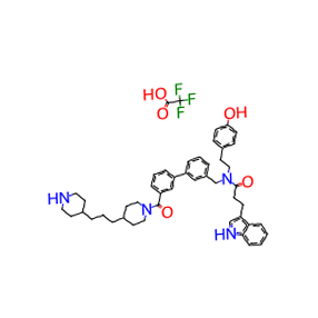 O=C(CCc1c[nH]c2ccccc12)N(CCc1ccc(O)cc1)Cc1cccc(-c2cccc(C(=O)N3CCC(CCCC4CCNCC4)CC3)c2)c1.O=C(O)C(F)(F)F